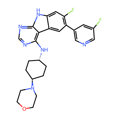 Fc1cncc(-c2cc3c(cc2F)[nH]c2ncnc(N[C@H]4CC[C@H](N5CCOCC5)CC4)c23)c1